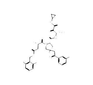 CCC[C@H](NC(=O)[C@@H]1C[C@]2(CC(c3cccc(Cl)c3)=NO2)CN1C(=O)[C@@H](CC(=O)OCc1c(F)cccc1F)C(C)(C)C)C(=O)C(=O)NC1CC1